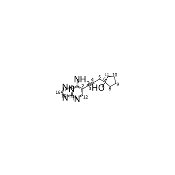 Nc1c(C#CCC2(O)CCCC2)cnc2ncnn12